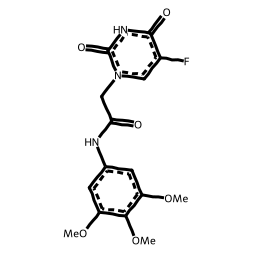 COc1cc(NC(=O)Cn2cc(F)c(=O)[nH]c2=O)cc(OC)c1OC